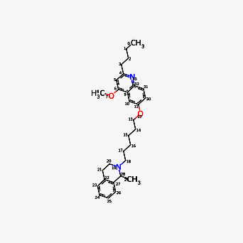 CCCCc1cc(OC)c2cc(OCCCCCCN3CCc4ccccc4C3C)ccc2n1